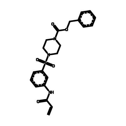 C=CC(=O)Nc1cccc(S(=O)(=O)N2CCN(C(=O)OCc3ccccc3)CC2)c1